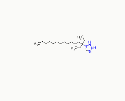 CCCCCCCCCCCCC(CC)(CC)N1C=NNN1